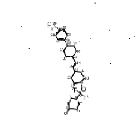 CC1CCC(C(F)(F)OC2CCC(/C=C/C3CCC(c4ccc(C(F)(F)F)cc4)CC3)CC2)CC1